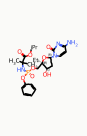 CC[C@]1(COP(=O)(NC(C)(C)C(=O)OC(C)C)Oc2ccccc2)O[C@@H](n2ccc(N)nc2=O)C[C@@H]1O